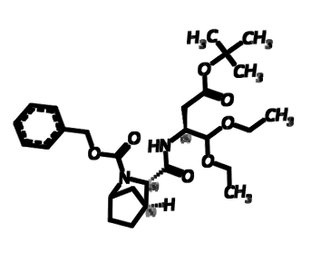 CCOC(OCC)[C@H](CC(=O)OC(C)(C)C)NC(=O)[C@@H]1[C@H]2CCC(C2)N1C(=O)OCc1ccccc1